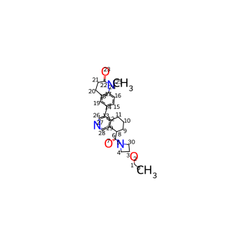 CCOC1CN(C(=O)C2CCCc3c(-c4ccc5c(c4)CCC(=O)N5C)cncc32)C1